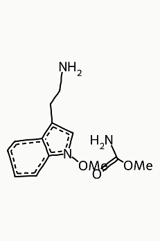 COC(N)=O.COn1cc(CCN)c2ccccc21